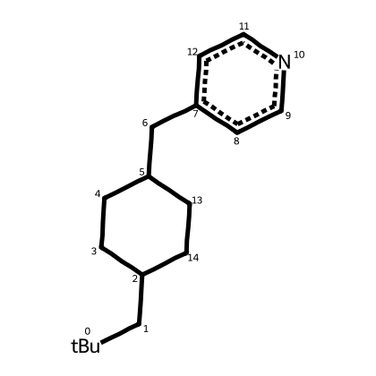 CC(C)(C)CC1CCC(Cc2ccncc2)CC1